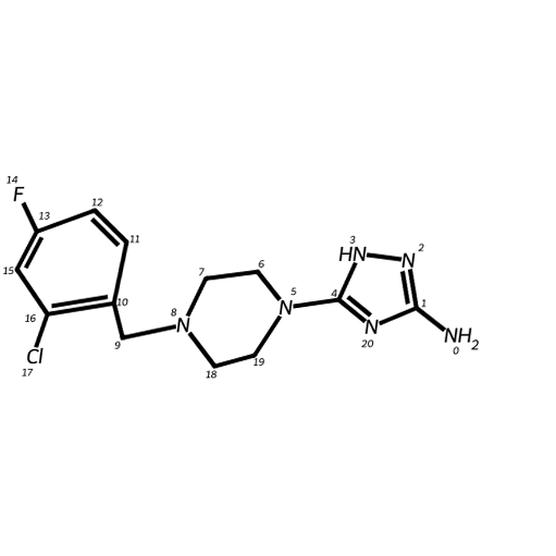 Nc1n[nH]c(N2CCN(Cc3ccc(F)cc3Cl)CC2)n1